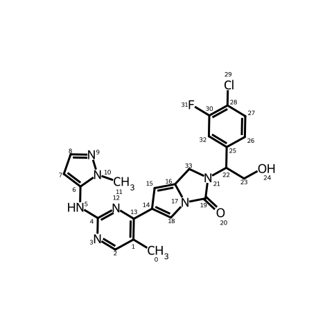 Cc1cnc(Nc2ccnn2C)nc1-c1cc2n(c1)C(=O)N(C(CO)c1ccc(Cl)c(F)c1)C2